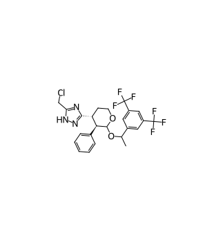 CC(OC1OCC[C@@H](c2n[nH]c(CCl)n2)[C@@H]1c1ccccc1)c1cc(C(F)(F)F)cc(C(F)(F)F)c1